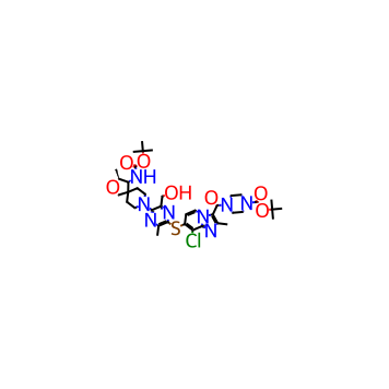 Cc1nc(N2CCC3(CC2)CO[C@@H](C)[C@H]3NC(=O)OC(C)(C)C)c(CO)nc1Sc1ccn2c(C(=O)N3CCN(C(=O)OC(C)(C)C)CC3)c(C)nc2c1Cl